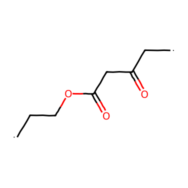 [CH2]CCOC(=O)CC(=O)C[CH2]